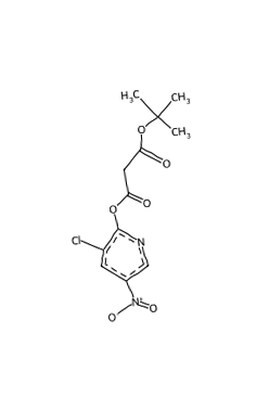 CC(C)(C)OC(=O)CC(=O)Oc1ncc([N+](=O)[O-])cc1Cl